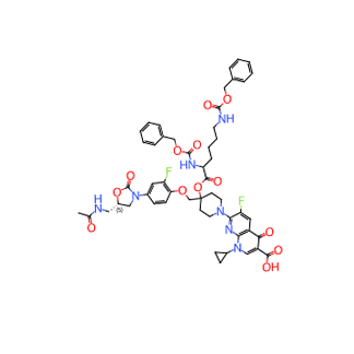 CC(=O)NC[C@H]1CN(c2ccc(OCC3(OC(=O)C(CCCCNC(=O)OCc4ccccc4)NC(=O)OCc4ccccc4)CCN(c4nc5c(cc4F)c(=O)c(C(=O)O)cn5C4CC4)CC3)c(F)c2)C(=O)O1